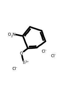 O=[N+]([O-])c1ccccc1[O][Ti+3].[Cl-].[Cl-].[Cl-]